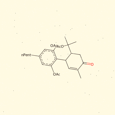 CCCCCc1cc(OC(C)=O)c(C2C=C(C)C(=O)CC2C(C)(C)OC(C)=O)c(OC(C)=O)c1